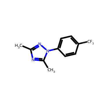 Cc1nc(C)n(-c2ccc(C(F)(F)F)cc2)n1